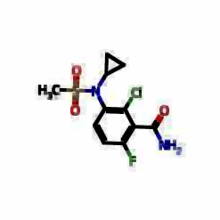 CS(=O)(=O)N(c1ccc(F)c(C(N)=O)c1Cl)C1CC1